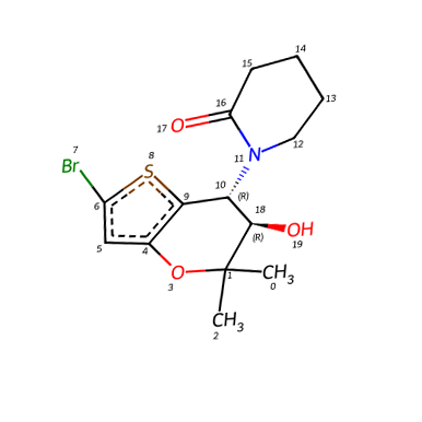 CC1(C)Oc2cc(Br)sc2[C@H](N2CCCCC2=O)[C@H]1O